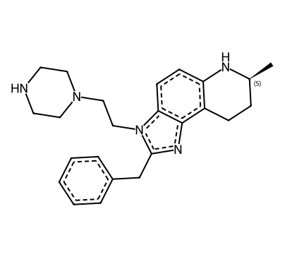 C[C@H]1CCc2c(ccc3c2nc(Cc2ccccc2)n3CCN2CCNCC2)N1